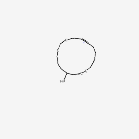 OC1CCCCCCC/C=C/CCCCCCC1